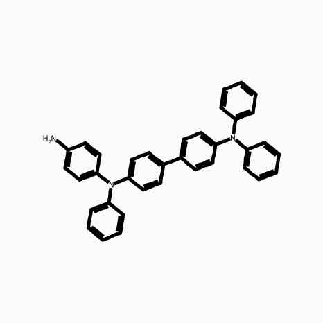 Nc1ccc(N(c2ccccc2)c2ccc(-c3ccc(N(c4ccccc4)c4ccccc4)cc3)cc2)cc1